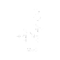 CCC[C@H](CN(CCOCCOC)S(=O)(=O)Cc1ccc2sccc2c1)C(=O)NO